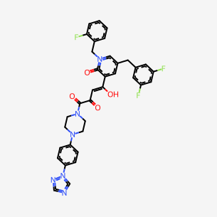 O=C(C=C(O)c1cc(Cc2cc(F)cc(F)c2)cn(Cc2ccccc2F)c1=O)C(=O)N1CCN(c2ccc(-n3cncn3)cc2)CC1